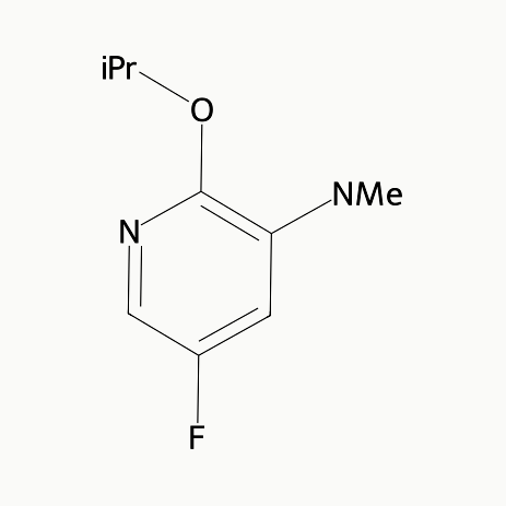 CNc1cc(F)cnc1OC(C)C